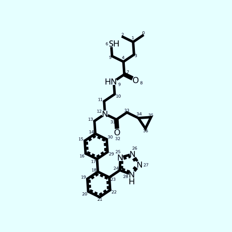 CC(C)CC(CS)C(=O)NCCN(Cc1ccc(-c2ccccc2-c2nnn[nH]2)cc1)C(=O)CC1CC1